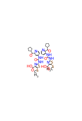 CSc1sc(NC(=O)Nc2cccnc2C(=O)C2CCCC2)nc1C(=O)O.CSc1sc(NC(=O)Nc2ccnc(C(=O)C3CCCC3)c2)nc1C(=O)O